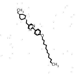 CCCCCCCCCCCCOc1ccc(-c2ncc(CC[C@H]3CC[C@H](CC)CC3)cn2)cc1